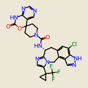 O=C1Nc2ncncc2C2(CCN(C(=O)N[C@@H]3Cc4cc(Cl)c5[nH]ncc5c4Cn4c(C5(C(F)(F)F)CC5)cnc43)CC2)O1